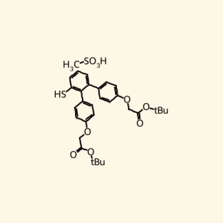 CC(C)(C)OC(=O)COc1ccc(-c2cccc(S)c2-c2ccc(OCC(=O)OC(C)(C)C)cc2)cc1.CS(=O)(=O)O